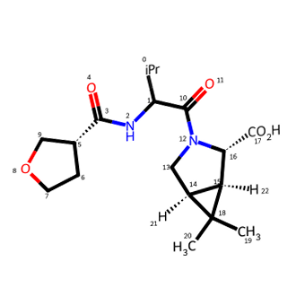 CC(C)C(NC(=O)[C@@H]1CCOC1)C(=O)N1C[C@H]2[C@@H]([C@H]1C(=O)O)C2(C)C